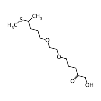 CSC(C)CCCOCCOCCCC(=O)CO